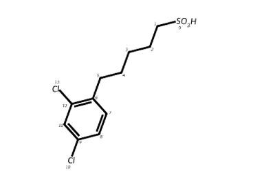 O=S(=O)(O)CCCCCc1ccc(Cl)cc1Cl